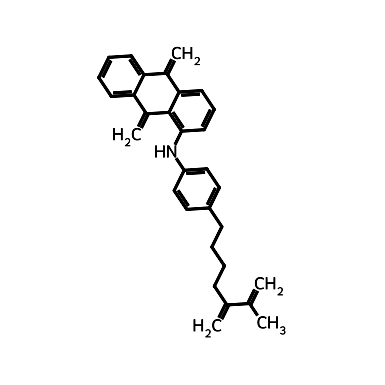 C=C(C)C(=C)CCCCc1ccc(Nc2cccc3c(=C)c4ccccc4c(=C)c23)cc1